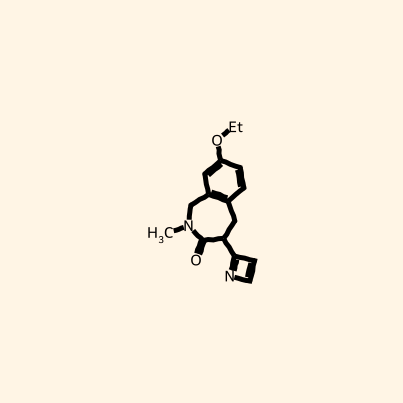 CCOc1ccc2c(c1)CN(C)C(=O)C(C1=NC=C1)C2